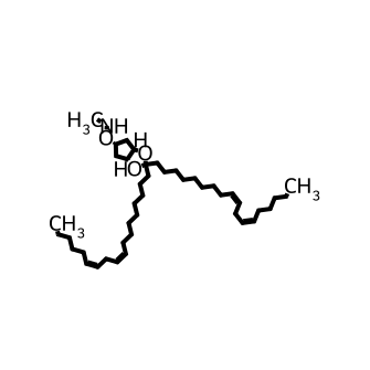 CCCCC/C=C\C/C=C\CCCCCCCCC1(CCCCCCCC/C=C\C/C=C\CCCCC)O[C@H]2C[C@H](ONC)C[C@H]2O1